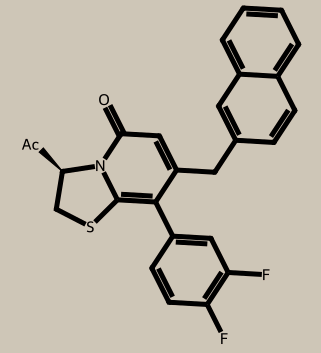 CC(=O)[C@@H]1CSc2c(-c3ccc(F)c(F)c3)c(Cc3ccc4ccccc4c3)cc(=O)n21